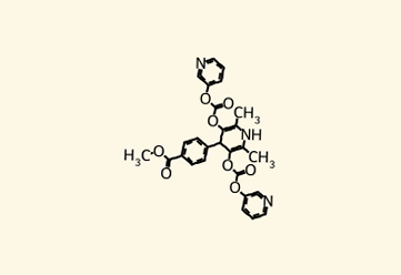 COC(=O)c1ccc(C2C(OC(=O)Oc3cccnc3)=C(C)NC(C)=C2OC(=O)Oc2cccnc2)cc1